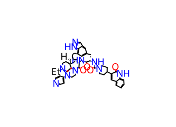 CCN1CCC(C[C@H](NC(=O)[C@H](Cc2cc(C)c3[nH]ncc3c2)NC(=O)N2CCC(c3cc4ccccc4[nH]c3=O)CC2)C(=O)N2CCN(c3ccncc3)CC2)CC1